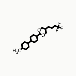 CC1CCC(C2CCC(C3OCC(CCCC(F)(F)F)CO3)CC2)CC1